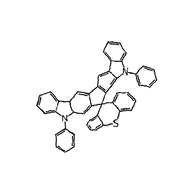 C1=C2C(=CC3C1c1ccccc1N3c1ccccc1)C1(c3ccccc3Sc3ccccc31)c1cc3c(cc12)c1ccccc1n3-c1ccccc1